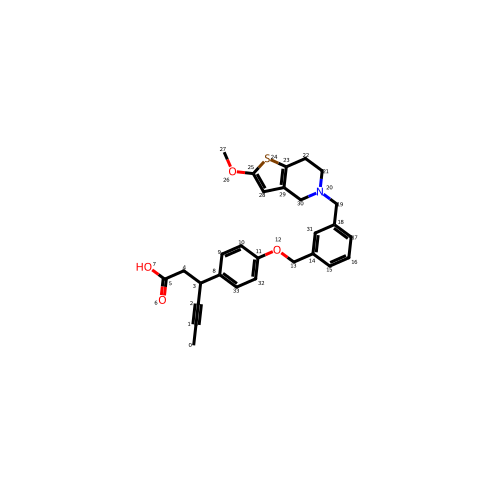 CC#CC(CC(=O)O)c1ccc(OCc2cccc(CN3CCc4sc(OC)cc4C3)c2)cc1